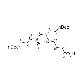 CCCCCCCCCCCCOC(=O)CC(CCCCCCCCCCCC)SCCCC(=O)O